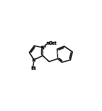 CCCCCCCC[n+]1ccn(CC)c1Cc1ccccc1